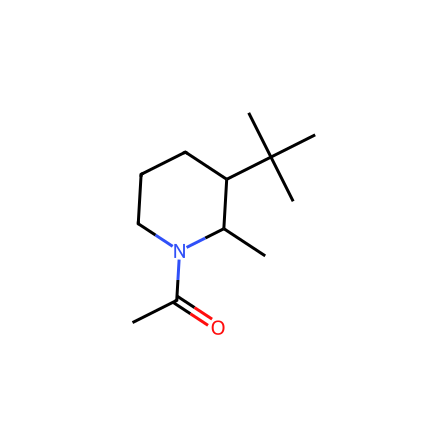 CC(=O)N1CCCC(C(C)(C)C)C1C